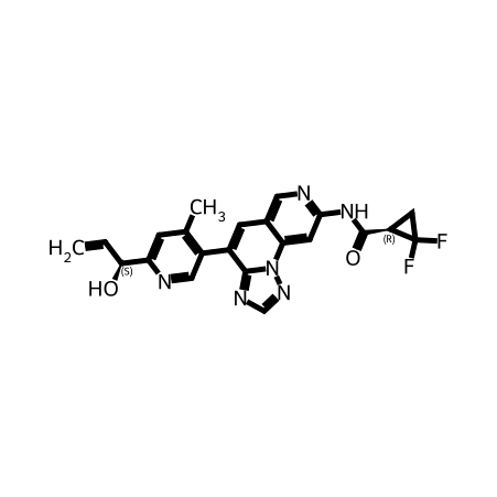 C=C[C@H](O)c1cc(C)c(-c2cc3cnc(NC(=O)[C@H]4CC4(F)F)cc3n3ncnc23)cn1